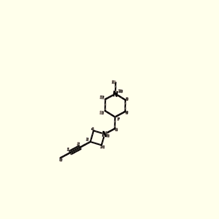 CC#CC1CN(CC2CCN(C)CC2)C1